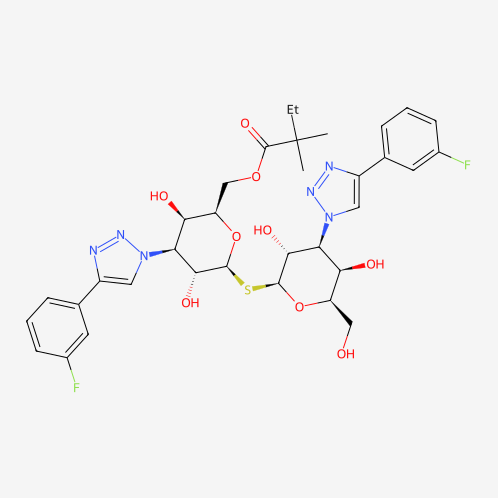 CCC(C)(C)C(=O)OC[C@H]1O[C@@H](S[C@@H]2O[C@H](CO)[C@H](O)[C@H](n3cc(-c4cccc(F)c4)nn3)[C@H]2O)[C@H](O)[C@@H](n2cc(-c3cccc(F)c3)nn2)[C@H]1O